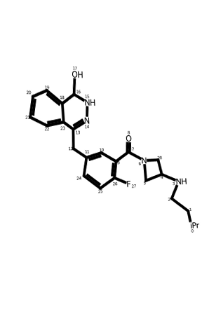 CC(C)CCNC1CN(C(=O)c2cc(CC3=NNC(O)c4ccccc43)ccc2F)C1